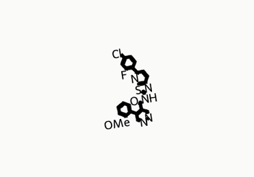 COc1ccccc1-c1cnncc1C(=O)Nc1nc2ccc(-c3ccc(Cl)cc3F)nc2s1